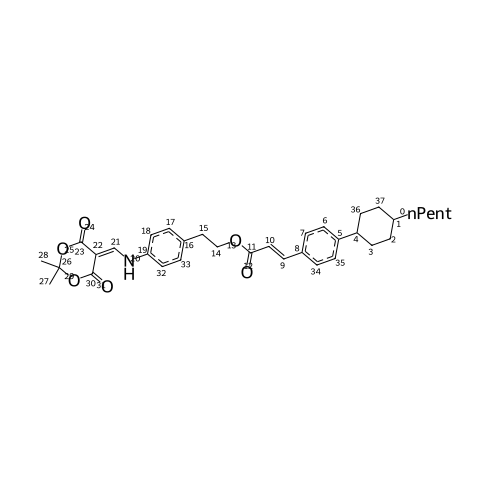 CCCCCC1CCC(c2ccc(/C=C/C(=O)OCCc3ccc(NC=C4C(=O)OC(C)(C)OC4=O)cc3)cc2)CC1